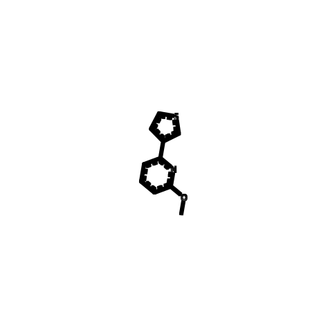 COc1cccc(-c2ccsc2)n1